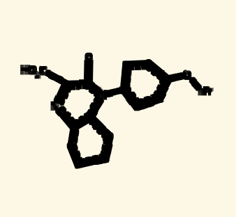 CCCOc1ccc(-n2c(=O)c(C(=O)O)nc3ccccc32)cc1